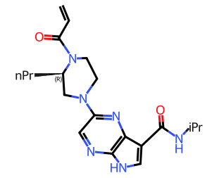 C=CC(=O)N1CCN(c2cnc3[nH]cc(C(=O)NC(C)C)c3n2)C[C@H]1CCC